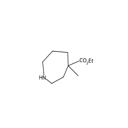 CCOC(=O)C1(C)CCCNCC1